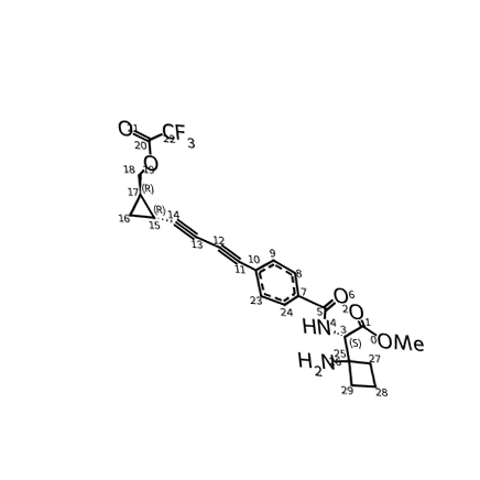 COC(=O)[C@@H](NC(=O)c1ccc(C#CC#C[C@@H]2C[C@H]2COC(=O)C(F)(F)F)cc1)C1(N)CCC1